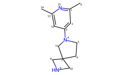 Cc1cc(N2CCC3(CNC3)C2)cc(C)n1